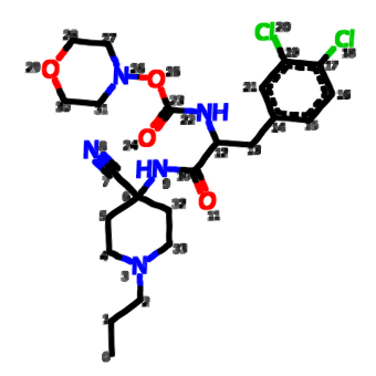 CCCN1CCC(C#N)(NC(=O)C(Cc2ccc(Cl)c(Cl)c2)NC(=O)ON2CCOCC2)CC1